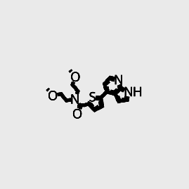 COCCN(CCOC)C(=O)c1ccc(-c2ccnc3[nH]ccc23)s1